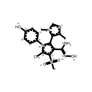 Cc1ncn(C)c1-c1c(/C(N)=N/O)c(S(C)(=O)=O)c(Cl)n1-c1ccc(O)cc1